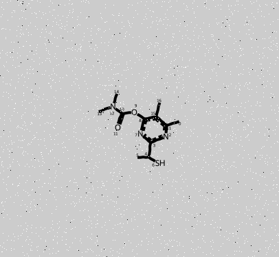 Cc1nc(C(C)S)nc(OC(=O)N(C)C)c1C